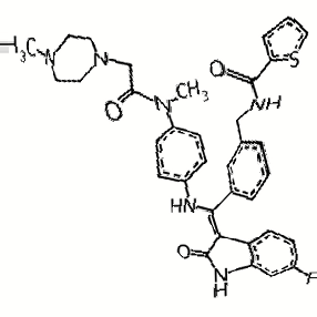 CN1CCN(CC(=O)N(C)c2ccc(N/C(=C3\C(=O)Nc4cc(F)ccc43)c3cccc(CNC(=O)c4cccs4)c3)cc2)CC1